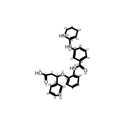 O=C(O)CC(Oc1ccccc1NC(=O)c1cccc(NC2=CCCCN2)c1)c1cccnc1